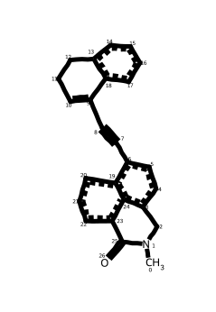 CN1Cc2ccc(C#CC3=CCCc4ccccc43)c3cccc(c23)C1=O